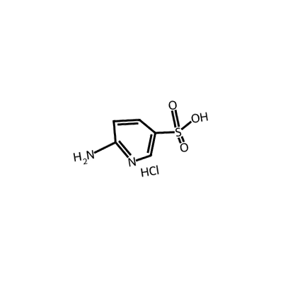 Cl.Nc1ccc(S(=O)(=O)O)cn1